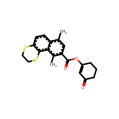 Cc1cc(C(=O)OC2=CC(=O)CCC2)c(C)c2c3c(ccc12)SCCS3